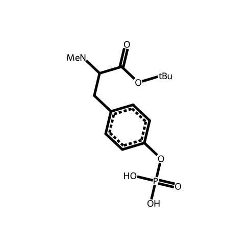 CNC(Cc1ccc(OP(=O)(O)O)cc1)C(=O)OC(C)(C)C